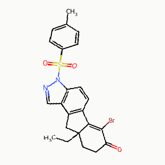 CCC12CCC(=O)C(Br)=C1c1ccc3c(cnn3S(=O)(=O)c3ccc(C)cc3)c1C2